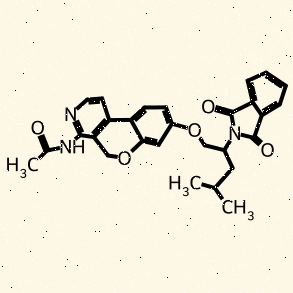 CC(=O)Nc1nccc2c1COc1cc(OCC(CC(C)C)N3C(=O)c4ccccc4C3=O)ccc1-2